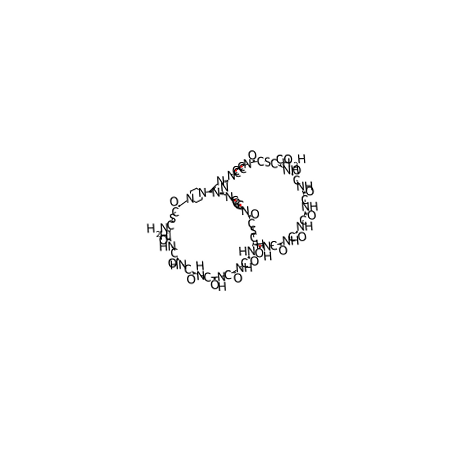 N[C@H]1CSCC(=O)N2CCN(CC2)c2nc3nc(n2)N2CCN(CC2)C(=O)CSC[C@H](NC(=O)CNC(=O)CNC(=O)CNC(=O)CNC(=O)CNC1=O)C(=O)NCC(=O)NCC(=O)NCC(=O)NCC(=O)NCC(=O)N[C@H](C(=O)O)CSCC(=O)N1CCN3CC1